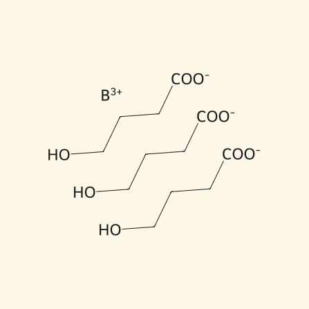 O=C([O-])CCCO.O=C([O-])CCCO.O=C([O-])CCCO.[B+3]